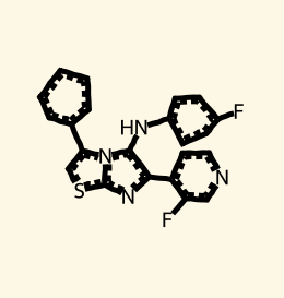 Fc1ccc(Nc2c(-c3ccncc3F)nc3scc(-c4ccccc4)n23)cc1